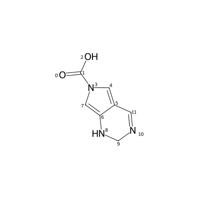 O=C(O)n1cc2c(c1)NCN=C2